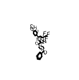 COc1ccc(-c2cc(C(F)(F)F)n3ncc(C(=O)N4CCN(C(=O)c5ccccc5)CC4)c3n2)cc1